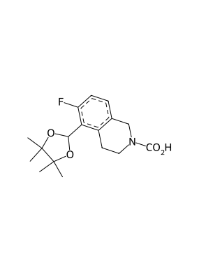 CC1(C)OC(c2c(F)ccc3c2CCN(C(=O)O)C3)OC1(C)C